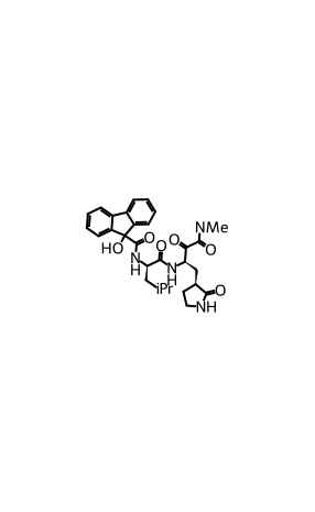 CNC(=O)C(=O)[C@@H](C[C@@H]1CCNC1=O)NC(=O)[C@@H](CC(C)C)NC(=O)C1(O)c2ccccc2-c2ccccc21